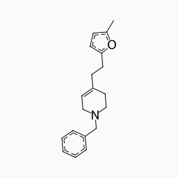 Cc1ccc(CCC2=CCN(Cc3ccccc3)CC2)o1